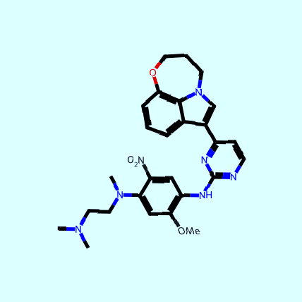 COc1cc(N(C)CCN(C)C)c([N+](=O)[O-])cc1Nc1nccc(-c2cn3c4c(cccc24)OCCC3)n1